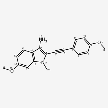 COc1ccc(C#Cc2c(N)c3ccc(OC)cc3n2C)cc1